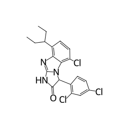 CCC(CC)c1ccc(Cl)c2c1nc1n2C(c2ccc(Cl)cc2Cl)C(=O)N1